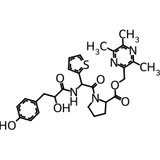 Cc1nc(C)c(COC(=O)C2CCCN2C(=O)C(NC(=O)C(O)Cc2ccc(O)cc2)c2cccs2)nc1C